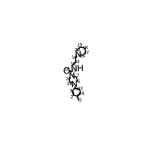 Cc1ccc(N2CCN(C(=O)NCCCN3CCCCC3)CC2)cc1